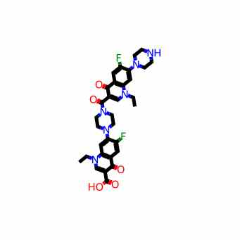 CCn1cc(C(=O)O)c(=O)c2cc(F)c(N3CCN(C(=O)c4cn(CC)c5cc(N6CCNCC6)c(F)cc5c4=O)CC3)cc21